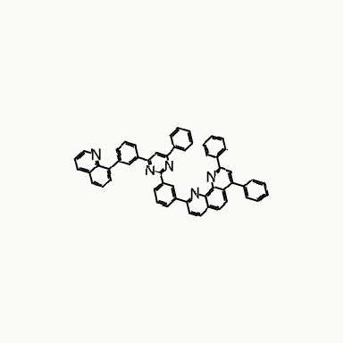 c1ccc(-c2cc(-c3cccc(-c4cccc5cccnc45)c3)nc(-c3cccc(-c4ccc5ccc6c(-c7ccccc7)cc(-c7ccccc7)nc6c5n4)c3)n2)cc1